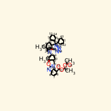 CCOc1nc2cccc(C(=O)OC(C)OC(C)=O)c2n1Cc1ccc(-n2cc(C)cc2-c2nnnn2C(c2ccccc2)(c2ccccc2)c2ccccc2)cc1